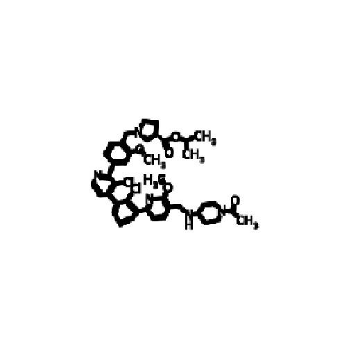 COc1cc(-c2nccc(-c3cccc(-c4ccc(CNC5CCN(C(C)=O)CC5)c(OC)n4)c3Cl)c2Cl)ccc1CN1CC[C@@H](C(=O)OC(C)C)C1